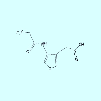 CCC(=O)Nc1cscc1CC(=O)O